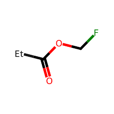 CCC(=O)OCF